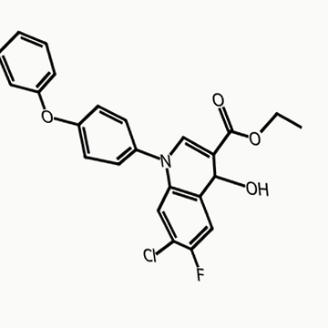 CCOC(=O)C1=CN(c2ccc(Oc3ccccc3)cc2)c2cc(Cl)c(F)cc2C1O